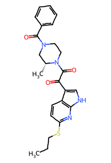 CCCSc1ccc2c(C(=O)C(=O)N3CCN(C(=O)c4ccccc4)C[C@H]3C)c[nH]c2n1